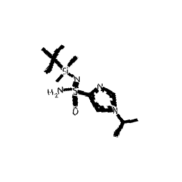 CC(C)n1cnc(S(N)(=O)=N[Si](C)(C)C(C)(C)C)c1